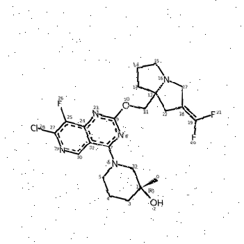 C[C@@]1(O)CCCN(c2nc(OCC34CCCN3CC(=C(F)F)C4)nc3c(F)c(Cl)ncc23)C1